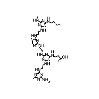 CNc1nc(NCCS)nc(NCCNc2ncnc(NCCNc3nc(NCCNc4nc(C)nc(N)n4)nc(NCCC(=O)O)n3)n2)n1